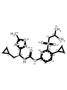 Cc1nc([C@H](CC2CC2)NC(=O)Oc2ccc(C3CC3)c(S(=O)(=O)CC(C)C)n2)no1